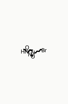 CC(=O)Nc1ccn(CCCCBr)c(=O)n1